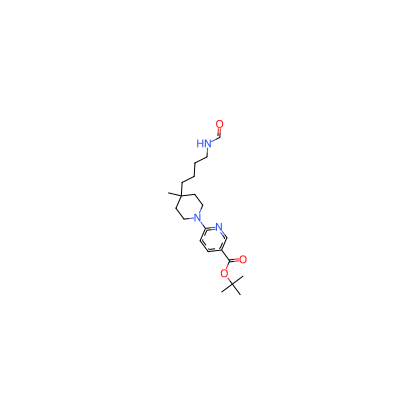 CC1(CCCCNC=O)CCN(c2ccc(C(=O)OC(C)(C)C)cn2)CC1